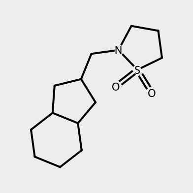 O=S1(=O)CCCN1CC1CC2CCCCC2C1